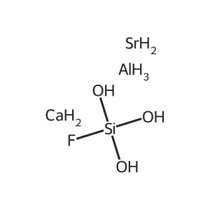 O[Si](O)(O)F.[AlH3].[CaH2].[SrH2]